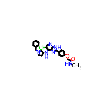 CNC(=O)COc1ccc(-c2nc3c(N[C@@H]4CCN(Cc5ccccc5)C4)c(Cl)cnc3[nH]2)cc1